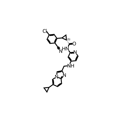 N#Cc1ccc(Cl)cc1C1C[C@@H]1C(=O)Nc1cc(NCc2cn3cc(C4CC4)ccc3n2)ccn1